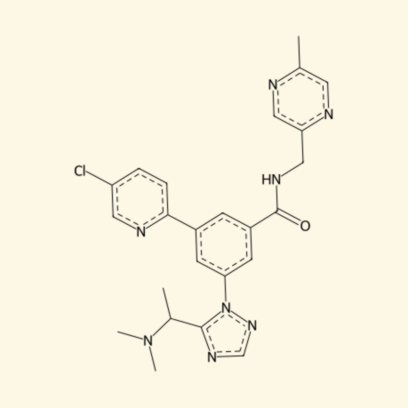 Cc1cnc(CNC(=O)c2cc(-c3ccc(Cl)cn3)cc(-n3ncnc3C(C)N(C)C)c2)cn1